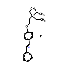 CC[N+](CC)(CC)CCOc1ccc(/C=C/c2ccccc2)cc1.[I-]